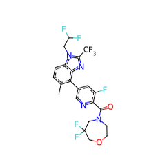 Cc1ccc2c(nc(C(F)(F)F)n2CC(F)F)c1-c1cnc(C(=O)N2CCOCC(F)(F)C2)c(F)c1